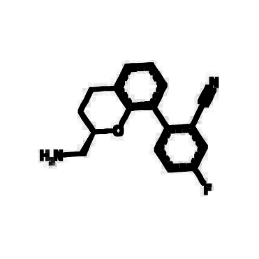 N#Cc1cc(F)ccc1-c1cccc2c1O[C@@H](CN)CC2